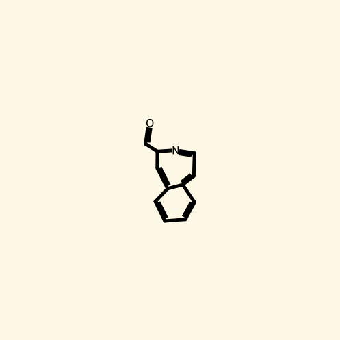 O=CC1C=c2ccccc2=CC=N1